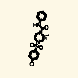 C[C@@H]1CN(S(=O)(=O)c2ccc(Cl)cc2)CCN1C(=O)Nc1ccccc1